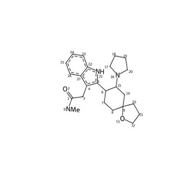 CNC(=O)Cc1c(C2CCC3(CCCO3)CC2N2CCCC2)[nH]c2ccccc12